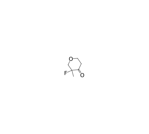 CC1(F)COCCC1=O